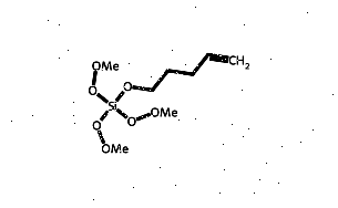 C=CCCCO[Si](OOC)(OOC)OOC